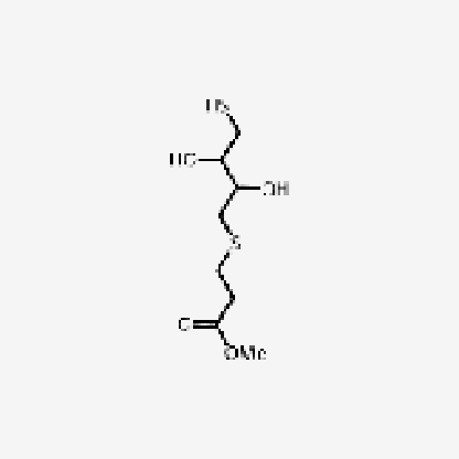 COC(=O)CCSCC(O)C(O)CS